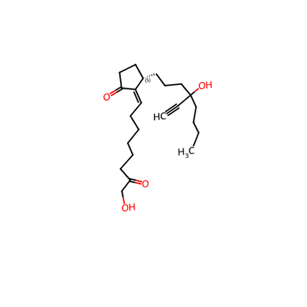 C#CC(O)(CCCC)CCC[C@H]1CCC(=O)C1=CCCCCCC(=O)CO